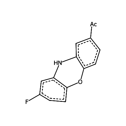 CC(=O)c1ccc2c(c1)Nc1cc(F)ccc1O2